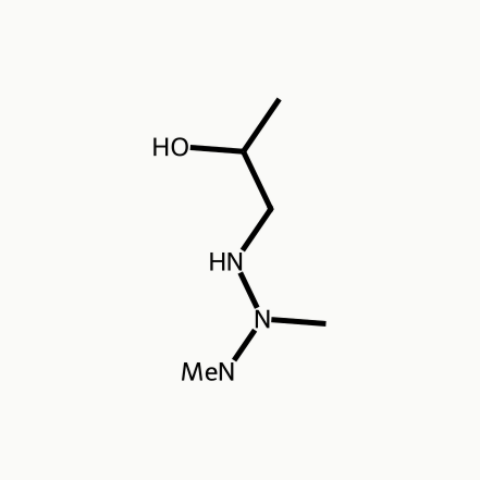 CNN(C)NCC(C)O